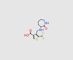 O=C(O)c1csc(C(F)F)c1CNC1CCCCNC1=O